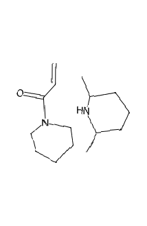 C=CC(=O)N1CCCCC1.CC1CCCC(C)N1